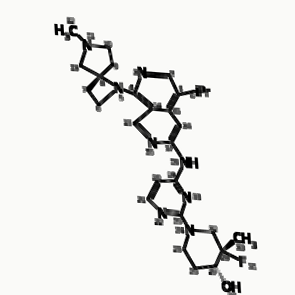 CC(C)c1cnc(N2CC[C@@]23CCN(C)C3)c2cnc(Nc3ccnc(N4CC[C@@H](O)[C@@](C)(F)C4)n3)cc12